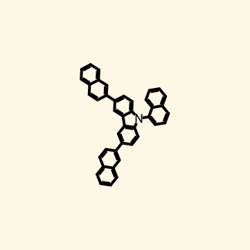 c1ccc2cc(-c3ccc4c(c3)c3cc(-c5ccc6ccccc6c5)ccc3n4-c3cccc4ccccc34)ccc2c1